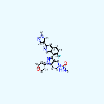 CNC(=O)N1CCc2c(c(-c3c(F)ccc4cc(-c5cnn(C)c5)ncc34)nn2C2CCOCC2)C1